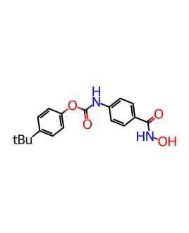 CC(C)(C)c1ccc(OC(=O)Nc2ccc(C(=O)NO)cc2)cc1